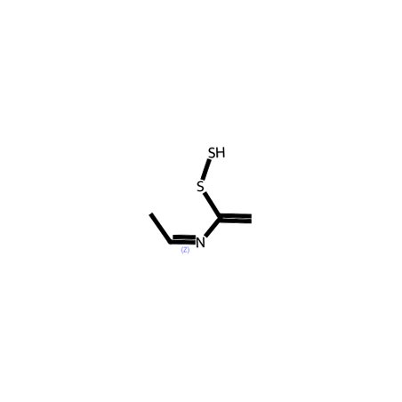 C=C(/N=C\C)SS